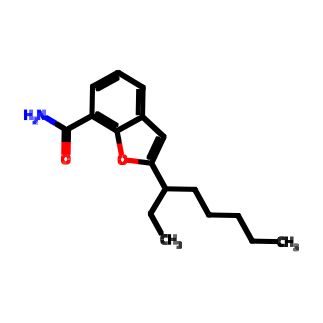 CCCCCC(CC)c1cc2cccc(C(N)=O)c2o1